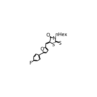 CCCCCCN1C(=O)C(=Cc2ccc(-c3ccc(F)cc3)o2)SC1=S